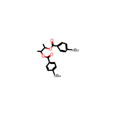 CCCCc1ccc(C(=O)OC(C)C(C)OC(=O)c2ccc(CCCC)cc2)cc1